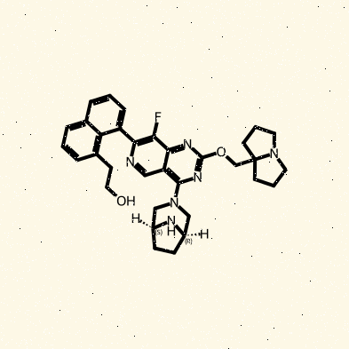 OCCc1cccc2cccc(-c3ncc4c(N5C[C@H]6CC[C@@H](C5)N6)nc(OCC56CCCN5CCC6)nc4c3F)c12